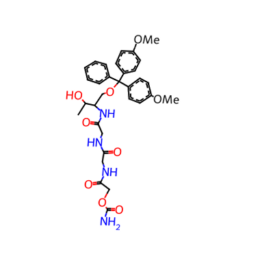 COc1ccc(C(OCC(NC(=O)CNC(=O)CNC(=O)COC(N)=O)C(C)O)(c2ccccc2)c2ccc(OC)cc2)cc1